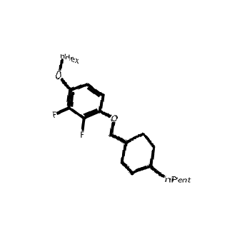 CCCCCCOc1ccc(OCC2CCC(CCCCC)CC2)c(F)c1F